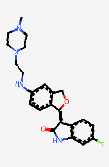 CN1CCN(CCNc2ccc3c(c2)CO/C3=C2/C(=O)Nc3cc(F)ccc32)CC1